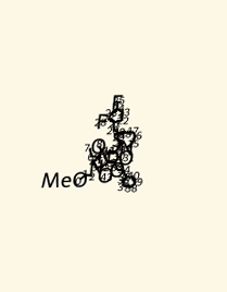 COCCN1CC2(CCOC2)n2cc(/C3=N/CCC/C=C(\Cc4ccc(F)cc4F)S3)c(=O)c(OCc3ccccc3)c2C1=O